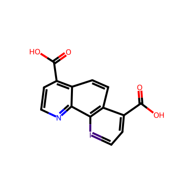 O=C(O)C1=CC=Ic2c1ccc1c(C(=O)O)ccnc21